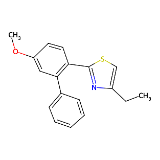 CCc1csc(-c2ccc(OC)cc2-c2ccccc2)n1